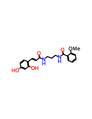 COc1ccccc1C(=O)NCCCNC(=O)/C=C/c1ccc(O)cc1O